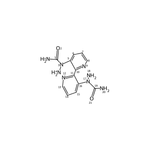 NC(=O)N(N)c1cccnc1-c1ncccc1N(N)C(N)=O